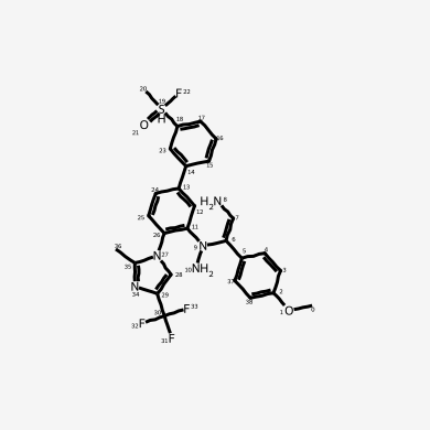 COc1ccc(/C(=C/N)N(N)c2cc(-c3cccc([SH](C)(=O)F)c3)ccc2-n2cc(C(F)(F)F)nc2C)cc1